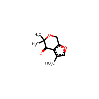 CC1(C)OCc2occ(C(=O)O)c2C1=O